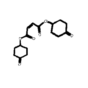 O=C1CCC(OC(=O)/C=C\C(=O)OC2CCC(=O)CC2)CC1